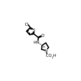 O=C(N[C@@H]1CCN(C(=O)O)C1)c1ccc(Cl)s1